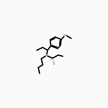 CCCCN(C(CC)c1ccc(OC)cc1)[C@@H](C)CC